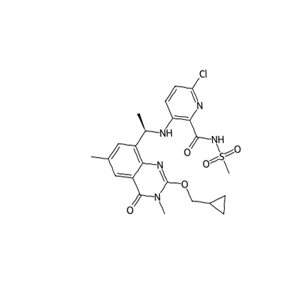 Cc1cc([C@@H](C)Nc2ccc(Cl)nc2C(=O)NS(C)(=O)=O)c2nc(OCC3CC3)n(C)c(=O)c2c1